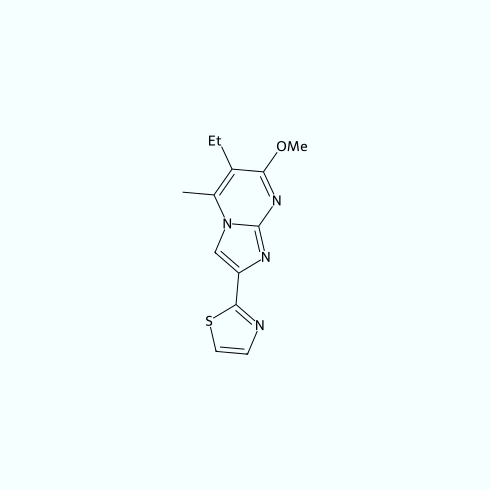 CCc1c(OC)nc2nc(-c3nccs3)cn2c1C